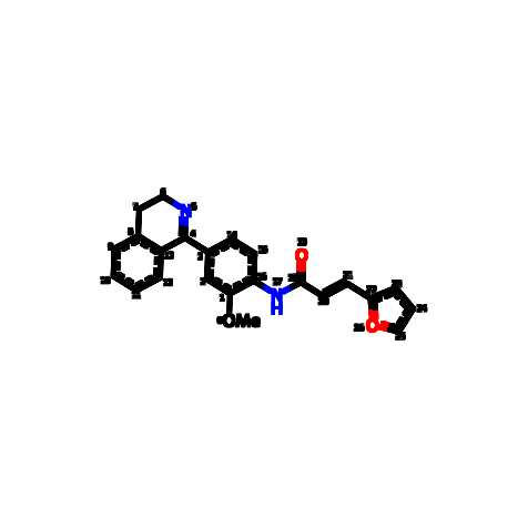 COc1cc(C2=NCCc3ccccc32)ccc1NC(=O)C=Cc1ccco1